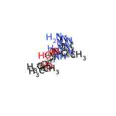 CN(Cc1cnc2nc(N)nc(N)c2n1)c1ccc(C(=O)N[C@@H](CCC(=O)OC(C)(C)C)C(=O)O)cc1